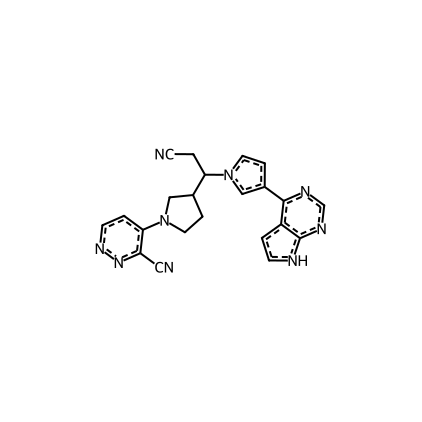 N#CCC(C1CCN(c2ccnnc2C#N)C1)n1ccc(-c2ncnc3[nH]ccc23)c1